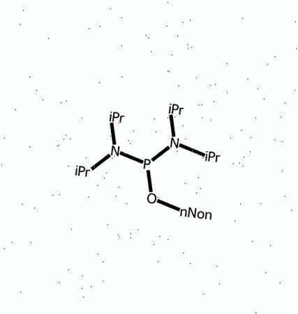 CCCCCCCCCOP(N(C(C)C)C(C)C)N(C(C)C)C(C)C